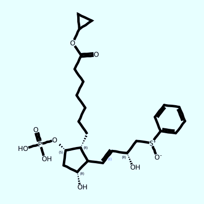 O=C(CCCCCC[C@@H]1C(/C=C/[C@@H](O)C[S+]([O-])c2ccccc2)[C@H](O)C[C@@H]1OP(=O)(O)O)OC1CC1